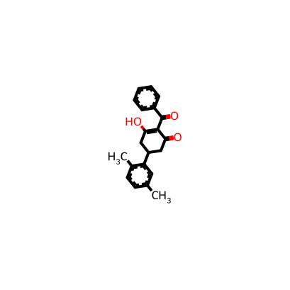 Cc1ccc(C)c(C2CC(=O)C(C(=O)c3ccccc3)=C(O)C2)c1